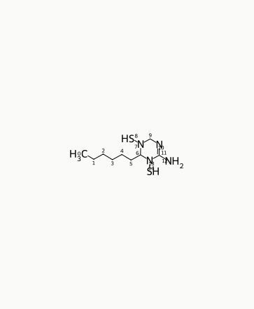 CCCCCCC1N(S)CN=C(N)N1S